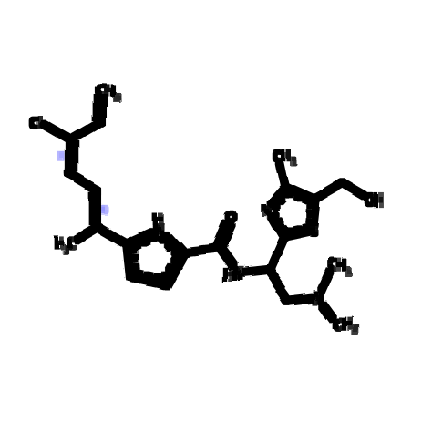 C=C/C(Cl)=C\C=C(/C)c1ccc(C(=O)NC(CN(C)C)c2nc(C)c(CO)s2)[nH]1